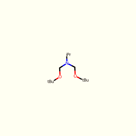 CC(C)N(COC(C)(C)C)COC(C)(C)C